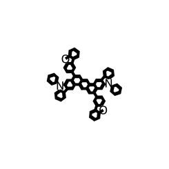 c1ccc(-n2c3ccccc3c3cc4c(cc32)c(-c2ccc3oc5ccccc5c3c2)cc2cc3c(cc(-c5ccc6oc7ccccc7c6c5)c5cc6c(cc53)c3ccccc3n6-c3ccccc3)cc24)cc1